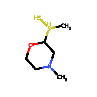 CN1CCOC([SH](C)S)C1